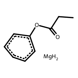 CCC(=O)Oc1ccccc1.[MgH2]